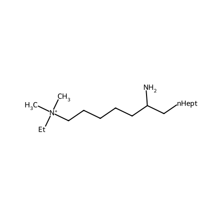 CCCCCCCCC(N)CCCCC[N+](C)(C)CC